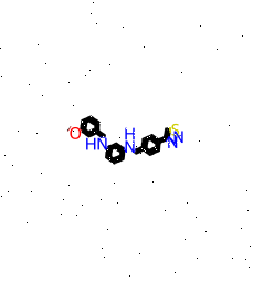 COc1cccc(CNc2cccc(NCc3ccc(-c4csnn4)cc3)c2)c1